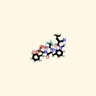 CC(C)C=C(C#N)C(=O)N(C)c1cccc(C[C@H](NCC(F)(F)F)C(=O)N[C@@H](Cc2ccccc2)B(O)O)c1